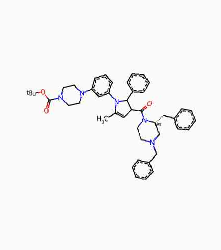 CC1=CC(C(=O)N2CCN(Cc3ccccc3)C[C@H]2Cc2ccccc2)C(c2ccccc2)N1c1cccc(N2CCN(C(=O)OC(C)(C)C)CC2)c1